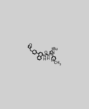 Cc1ccc(-n2nc(C(C)(C)C)cc2NC(=O)Nc2ccc(C3=CCC(Cc4ccoc4)C=C3)c3ccccc23)cn1